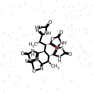 C[C@H](c1n[nH]c(=O)[nH]1)[C@H](c1n[nH]c(=O)o1)[C@H](c1noc(=O)[nH]1)[C@H](c1nsc(=O)[nH]1)[C@@H](C)c1noc(=S)[nH]1